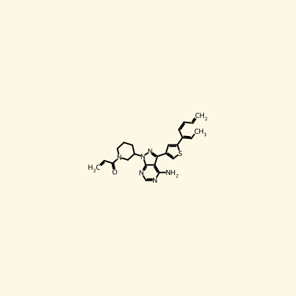 C=C/C=C\C(=C/C)c1cc(-c2nn(C3CCCN(C(=O)C=C)C3)c3ncnc(N)c23)cs1